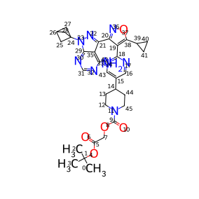 CC(C)(C)OC(=O)COC(=O)N1CCC(c2cnc(-c3c(-c4nn(C56CC(C5)C6)c5ncnc(N)c45)noc3C3CC3)nc2)CC1